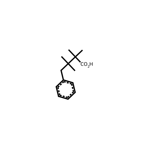 CC(C)(Cc1ccccc1)C(C)(C)C(=O)O